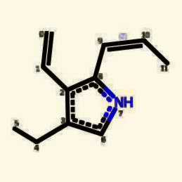 C=Cc1c(CC)c[nH]c1/C=C\C